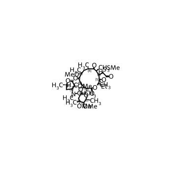 CC[C@H]1OC(=O)[C@H](C)[C@@H](O[C@H]2C[C@@](C)(OC)[C@@H](OC)[C@H](C)O2)[C@H](C)[C@@H](O[C@@H]2O[C@H](C)C[C@H](N(C)C)[C@H]2OC)[C@](C)(OC)C[C@@H](C)C(=O)C(C)[C@H]2C(SSC)C(=O)O[C@@]21C